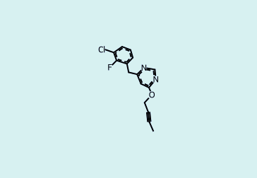 CC#CCOc1cc(Cc2cccc(Cl)c2F)ncn1